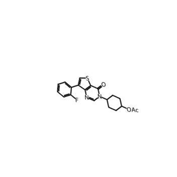 CC(=O)OC1CCC(n2cnc3c(-c4ccccc4F)csc3c2=O)CC1